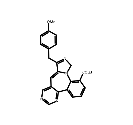 CCOC(=O)c1cccc2c1N1CN=C(Cc3ccc(OC)cc3)C1=Cc1cncnc1-2